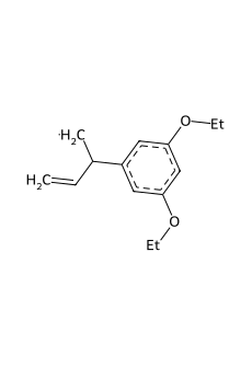 [CH2]C(C=C)c1cc(OCC)cc(OCC)c1